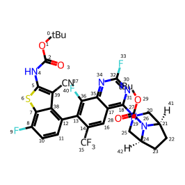 CC(C)(C)OC(=O)Nc1sc2c(F)ccc(-c3c(C(F)(F)F)cc4c(N5C[C@H]6CC[C@@H](C5)N6C(=O)OC(C)(C)C)nc(F)nc4c3F)c2c1C#N